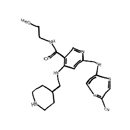 COCCNC(=O)c1cnc(Nc2cnc(C#N)cn2)cc1NCC1CCNCC1